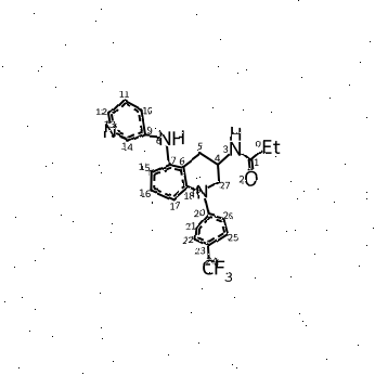 CCC(=O)NC1Cc2c(Nc3cccnc3)cccc2N(c2ccc(C(F)(F)F)cc2)C1